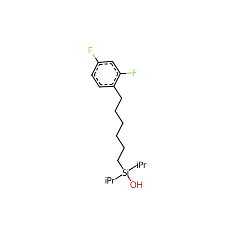 CC(C)[Si](O)(CCCCCCc1ccc(F)cc1F)C(C)C